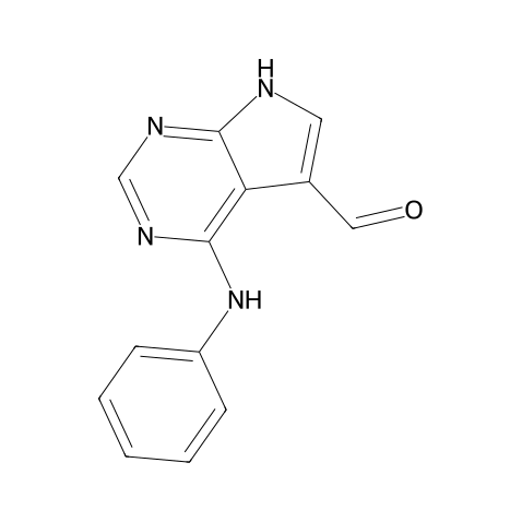 O=Cc1c[nH]c2ncnc(Nc3ccccc3)c12